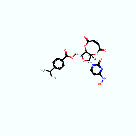 CC(C)c1ccc(C(=O)OC[C@H]2O[C@@H](n3ccc(NO)nc3=O)[C@H]3OC(=O)/C=C\C(=O)OC23)cc1